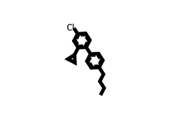 CCCCc1ccc(-c2ccc(Cl)cc2C2CC2)cc1